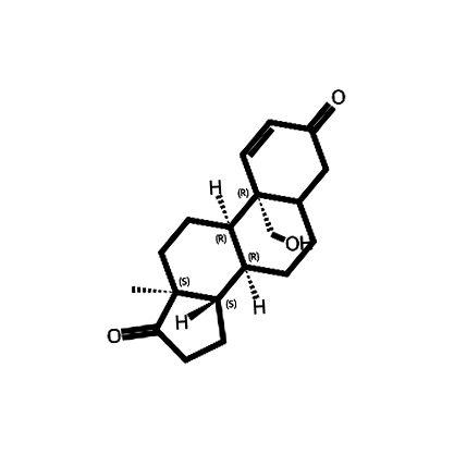 C[C@]12CC[C@@H]3[C@@H](CCC4CC(=O)C=C[C@@]43CO)[C@@H]1CCC2=O